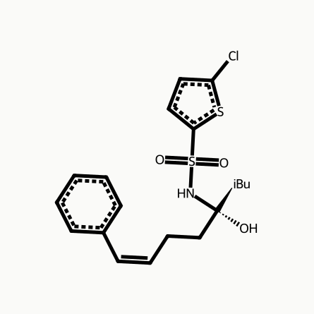 CC[C@H](C)[C@@](O)(CC/C=C\c1ccccc1)NS(=O)(=O)c1ccc(Cl)s1